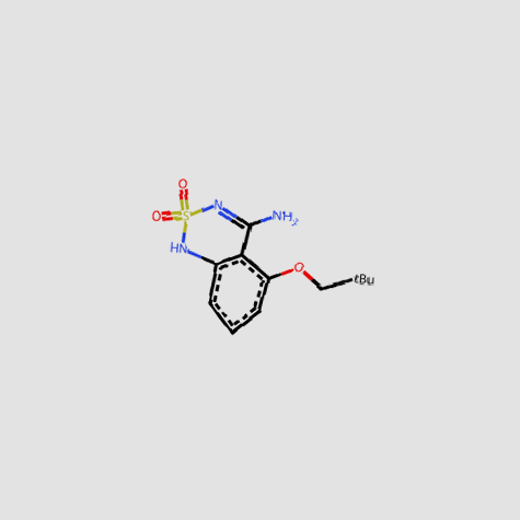 CC(C)(C)COc1cccc2c1C(N)=NS(=O)(=O)N2